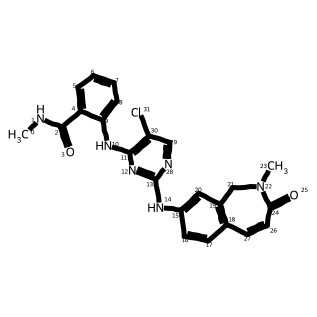 CNC(=O)c1ccccc1Nc1nc(Nc2ccc3c(c2)CN(C)C(=O)C=C3)ncc1Cl